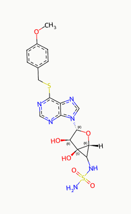 COc1ccc(CSc2ncnc3c2ncn3[C@@H]2O[C@@H]3C(NS(N)(=O)=O)[C@]3(O)[C@H]2O)cc1